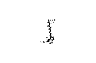 CCCCCCCCC(=O)C(=O)C1NCC[C@@H]1CCCCCCCCCC(=O)O